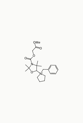 COC(=O)COC(=O)N1C(C)(C)OC([N+]2(Cc3ccccc3)CCCC2)C1(C)C